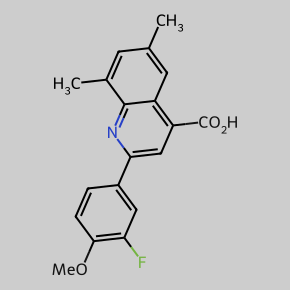 COc1ccc(-c2cc(C(=O)O)c3cc(C)cc(C)c3n2)cc1F